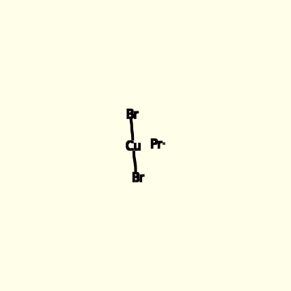 [Br][Cu][Br].[Pr]